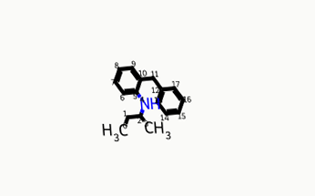 CCC(C)Nc1ccccc1Cc1ccccc1